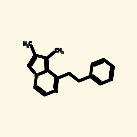 Cc1cn2ccnc(CCc3ccccc3)c2c1C